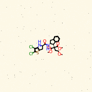 COCCC(C(=O)OC)(C(=O)OC)[C@@H]1c2ccccc2C[C@H]1NC(=O)C1Cc2sc(Cl)c(Cl)c2N1